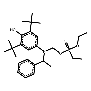 CCOP(=O)(CC)OCN(c1cc(C(C)(C)C)c(O)c(C(C)(C)C)c1)C(C)c1ccccc1